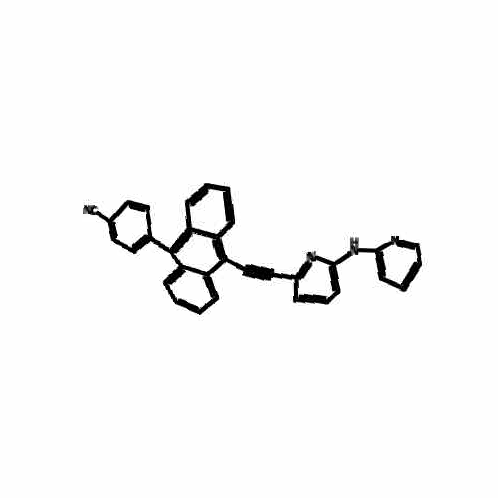 N#Cc1ccc(-c2c3ccccc3c(C#Cc3cccc(Nc4ccccn4)n3)c3ccccc23)cc1